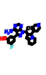 C[C@H](c1cc2ccccn2c1-c1ccncc1)n1nc(-c2cc(O)cc(F)c2)c2c(N)ncnc21